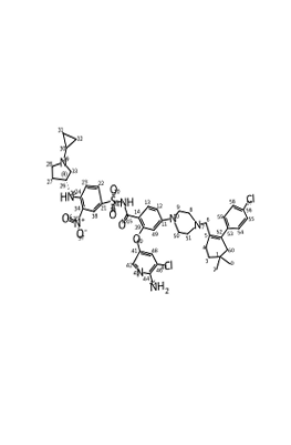 CC1(C)CCC(CN2CCN(c3ccc(C(=O)NS(=O)(=O)c4ccc(N[C@@H]5CCN(C6CC6)C5)c([N+](=O)[O-])c4)c(Oc4cnc(N)c(Cl)c4)c3)CC2)=C(c2ccc(Cl)cc2)C1